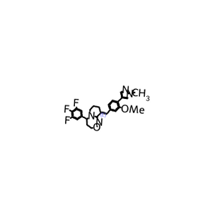 COc1cc(/C=C2\CCCN3C2=NOCCC3c2cc(F)c(F)c(F)c2)ccc1-c1cnn(C)c1